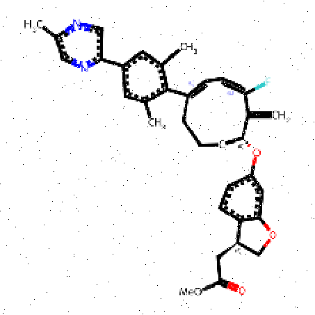 C=C1/C(F)=C\C=C(\c2c(C)cc(-c3cnc(C)cn3)cc2C)CCC[C@H]1Oc1ccc2c(c1)OC[C@H]2CC(=O)OC